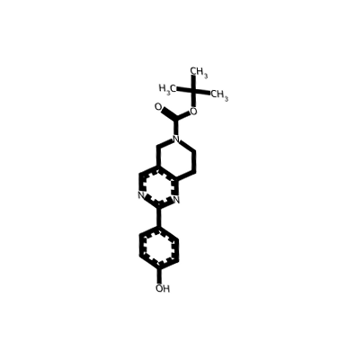 CC(C)(C)OC(=O)N1CCc2nc(-c3ccc(O)cc3)ncc2C1